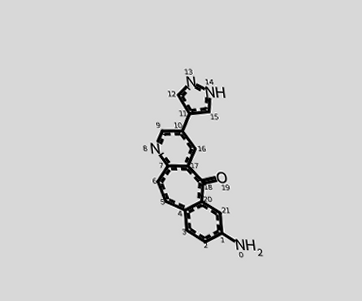 Nc1ccc2ccc3ncc(-c4cn[nH]c4)cc3c(=O)c2c1